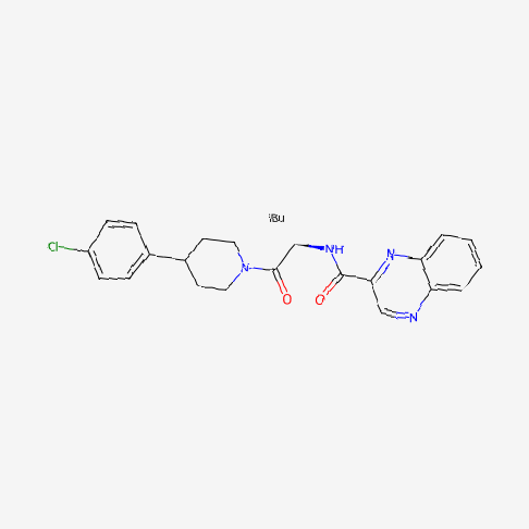 CC[C@H](C)[C@@H](NC(=O)c1cnc2ccccc2n1)C(=O)N1CCC(c2ccc(Cl)cc2)CC1